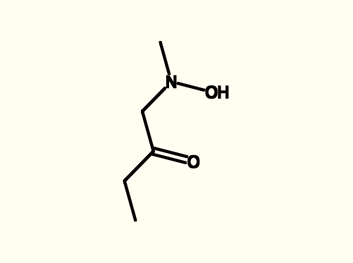 CCC(=O)CN(C)O